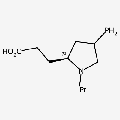 CC(C)N1CC(P)C[C@@H]1CCC(=O)O